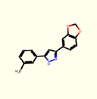 Bc1cccc(-c2cc(-c3ccc4c(c3)OCO4)n[nH]2)c1